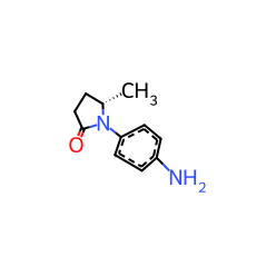 C[C@H]1CCC(=O)N1c1ccc(N)cc1